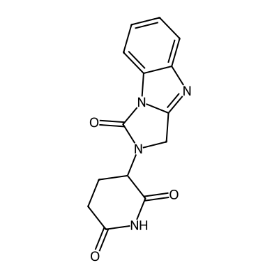 O=C1CCC(N2Cc3nc4ccccc4n3C2=O)C(=O)N1